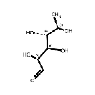 C[C@@H](O)[C@@H](O)[C@@H](O)[C@H](O)C=O